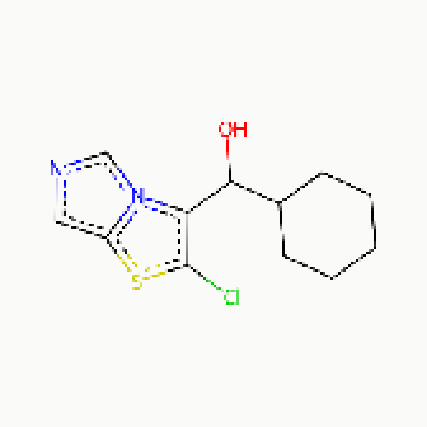 OC(c1c(Cl)sc2cncn12)C1CCCCC1